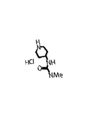 CNC(=O)NC1CCNCC1.Cl